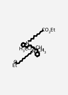 CCOC(=O)CCCCCCCCCCN1c2ccccc2C(C)(C)C1C=CC=C1N(CCCCCCCCCCC(=O)CC)c2ccccc2C1(C)C